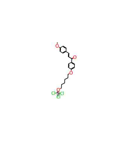 COc1ccc(/C=C/C(=O)c2ccc(OCCCCCCO[Si](Cl)(Cl)Cl)cc2)cc1